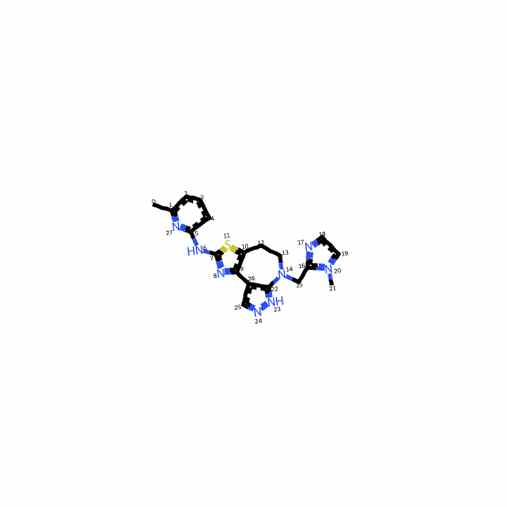 Cc1cccc(Nc2nc3c(s2)CCN(Cc2nccn2C)c2[nH]ncc2-3)n1